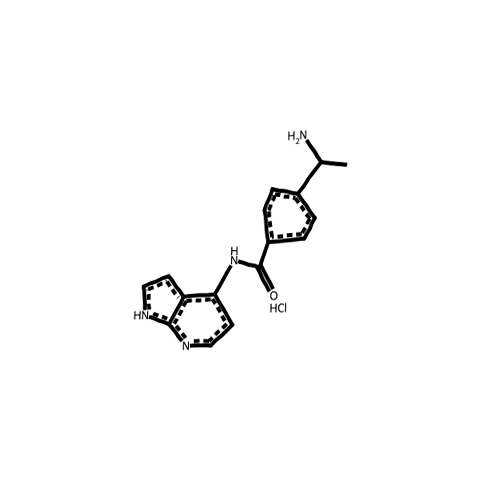 CC(N)c1ccc(C(=O)Nc2ccnc3[nH]ccc23)cc1.Cl